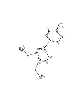 NCc1cc(-c2cnc(C(F)(F)F)nc2)ncc1CC(F)(F)F